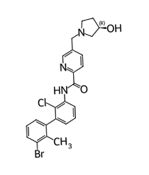 Cc1c(Br)cccc1-c1cccc(NC(=O)c2ccc(CN3CC[C@@H](O)C3)cn2)c1Cl